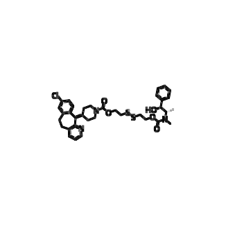 C[C@@H]([C@@H](O)c1ccccc1)N(C)C(=O)OCCSSCCOC(=O)N1CCC(=C2c3ccc(Cl)cc3CCc3cccnc32)CC1